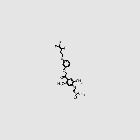 CCN(C)C=Nc1cc(C)c(C(=O)COc2cccc(SCCC(F)=C(F)F)c2)cc1C